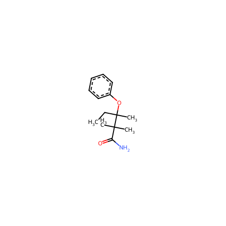 CCC(C)(Oc1ccccc1)C(C)(C)C(N)=O